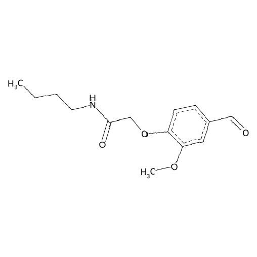 CCCCNC(=O)COc1ccc(C=O)cc1OC